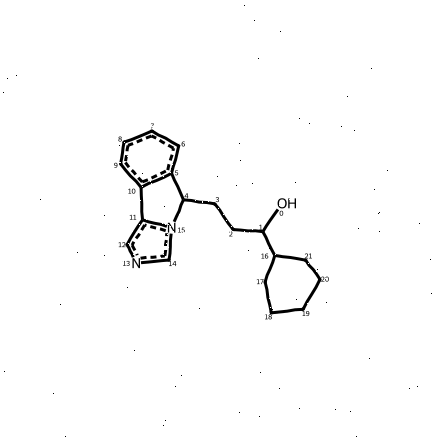 OC(CCC1c2ccccc2-c2cncn21)C1CCCCC1